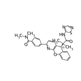 CN(C)C(=O)c1ccc(-c2ccc3c(n2)Oc2ccccc2[C@@H]3C(C)(C)C(=O)Nc2ncns2)cc1